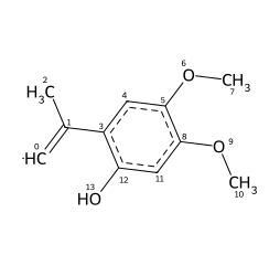 [CH]=C(C)c1cc(OC)c(OC)cc1O